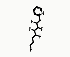 FCCCC(F)C(F)C(F)C(F)Cc1ccccn1